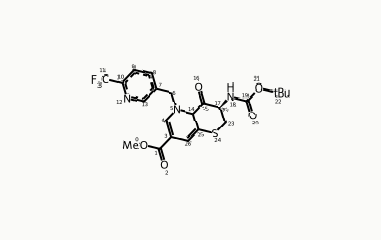 COC(=O)C1=CN(Cc2ccc(C(F)(F)F)nc2)C2C(=O)[C@@H](NC(=O)OC(C)(C)C)CSC2=C1